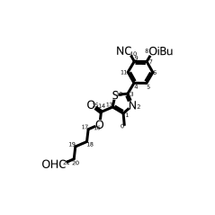 Cc1nc(-c2ccc(OCC(C)C)c(C#N)c2)sc1C(=O)OCCCCC=O